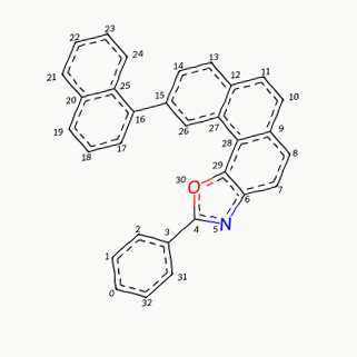 c1ccc(-c2nc3ccc4ccc5ccc(-c6cccc7ccccc67)cc5c4c3o2)cc1